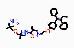 C=C(CN(C)CCOc1ccc(/C(=C(/CC)c2ccccc2)c2ccccc2)cc1)C(=O)NCC(C)(C)COCC(C)(C)CN